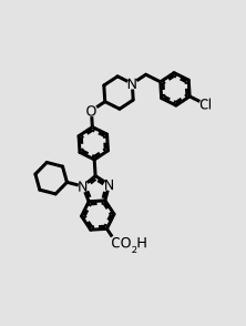 O=C(O)c1ccc2c(c1)nc(-c1ccc(OC3CCN(Cc4ccc(Cl)cc4)CC3)cc1)n2C1CCCCC1